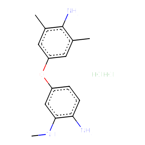 CNc1cc(Oc2cc(C)c(N)c(C)c2)ccc1N.Cl.Cl